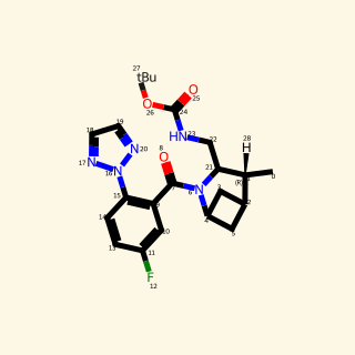 C[C@@H]1C2CC(C2)N(C(=O)c2cc(F)ccc2-n2nccn2)C1CNC(=O)OC(C)(C)C